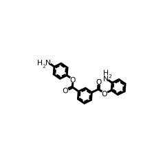 Nc1ccc(OC(=O)c2cccc(C(=O)Oc3ccccc3N)c2)cc1